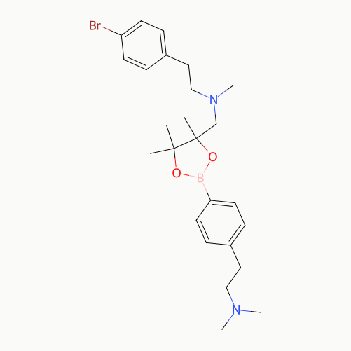 CN(C)CCc1ccc(B2OC(C)(C)C(C)(CN(C)CCc3ccc(Br)cc3)O2)cc1